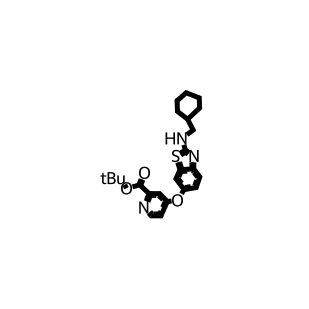 CC(C)(C)OC(=O)c1cc(Oc2ccc3nc(NCC4CCCCC4)sc3c2)ccn1